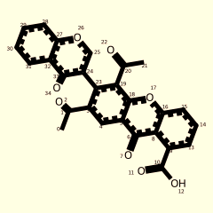 CC(=O)c1cc2c(=O)c3c(C(=O)O)cccc3oc2c(C(C)=O)c1-c1coc2ccccc2c1=O